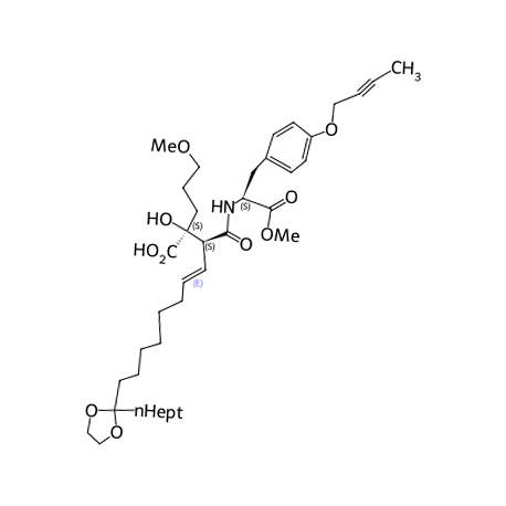 CC#CCOc1ccc(C[C@H](NC(=O)[C@@H](/C=C/CCCCCCC2(CCCCCCC)OCCO2)[C@@](O)(CCCOC)C(=O)O)C(=O)OC)cc1